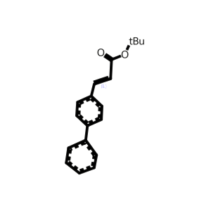 CC(C)(C)OC(=O)/C=C/c1ccc(-c2ccccc2)cc1